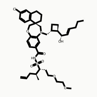 C=CC[C@H](C)[C@@H](CCOCCOC)S(=O)(=O)NC(=O)c1ccc2c(c1)N(C[C@@H]1CC[C@H]1[C@@H](O)/C=C/CCC)C[C@@]1(CCCc3cc(Cl)ccc31)CO2